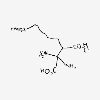 CCCCCCCCCCC(C(=O)O)C(N)(N)C(=O)O